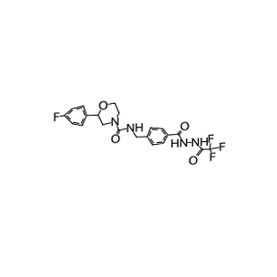 O=C(NNC(=O)C(F)(F)F)c1ccc(CNC(=O)N2CCOC(c3ccc(F)cc3)C2)cc1